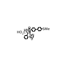 CSc1ccc(-c2ccc(S(=O)(=O)N[C@@H](C(=O)O)[C@H](Sc3ncn(C)n3)c3ccccc3)cc2)cc1